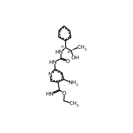 CCOC(=N)c1cnc(NC(=O)N[C@@H](c2ccccc2)[C@@H](C)O)cc1N